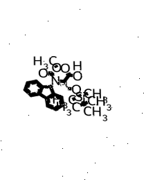 COC(=O)N(C1c2ccccc2-c2ccccc21)[C@@H](CO[Si](C)(C)C(C)(C)C)C(=O)O